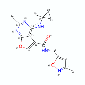 Cc1cc(CNC(=O)c2coc3nc(C)nc(NC4(C)CC4)c23)on1